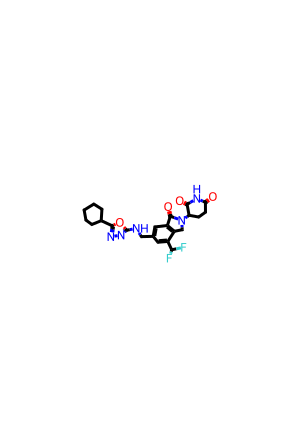 O=C1CCC(N2Cc3c(cc(CNc4nnc(C5CCCCC5)o4)cc3C(F)F)C2=O)C(=O)N1